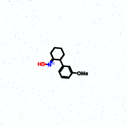 COc1cccc(C2CCCC/C2=N\O)c1